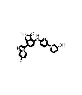 O=C1NCc2c(-c3cnc4cc(F)ccn34)ccc(Nc3ccc(N4CCC[C@@H](O)C4)cn3)c21